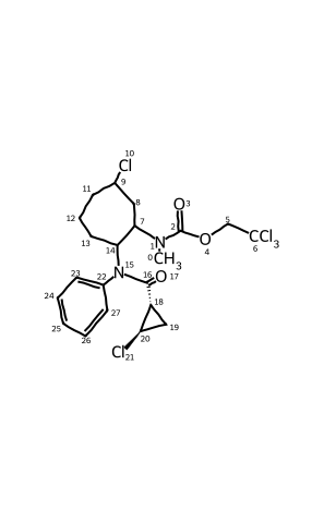 CN(C(=O)OCC(Cl)(Cl)Cl)C1CC(Cl)CCCC1N(C(=O)[C@@H]1C[C@H]1Cl)c1ccccc1